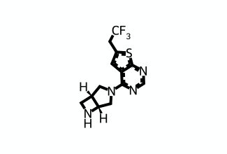 FC(F)(F)Cc1cc2c(N3C[C@H]4CN[C@H]4C3)ncnc2s1